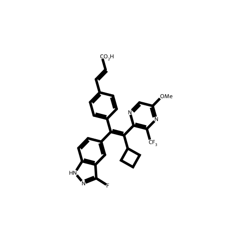 COc1cnc(C(=C(c2ccc(C=CC(=O)O)cc2)c2ccc3[nH]nc(F)c3c2)C2CCC2)c(C(F)(F)F)n1